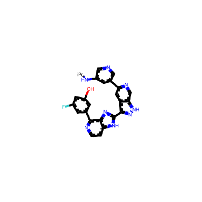 CC(C)Nc1cncc(-c2cc3c(-c4nc5c(-c6cc(O)cc(F)c6)nccc5[nH]4)n[nH]c3cn2)c1